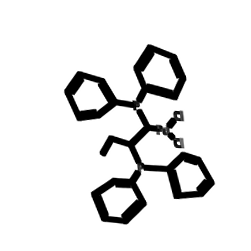 CCC([CH](P(c1ccccc1)c1ccccc1)[Pd]([Cl])[Cl])P(c1ccccc1)c1ccccc1